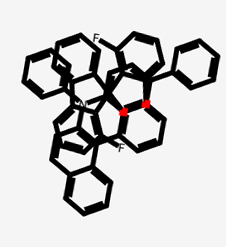 Fc1cccc2c1C1(c3ccccc3-2)c2c(F)cccc2-c2cccc(-c3c(N(c4ccccc4)c4ccc(-c5ccccc5)cc4)ccc4ccccc34)c21